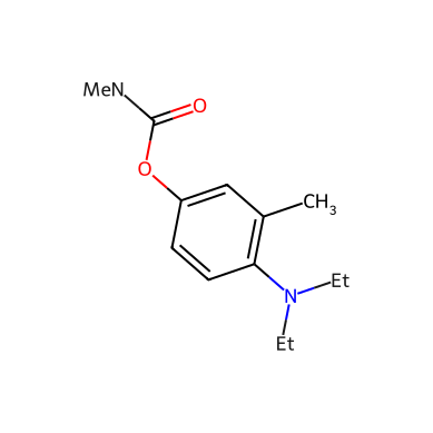 CCN(CC)c1ccc(OC(=O)NC)cc1C